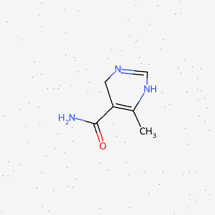 CC1=C(C(N)=O)CN=CN1